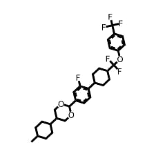 CC1CCC(C2COC(c3ccc(C4CCC(C(F)(F)Oc5ccc(C(F)(F)F)cc5)CC4)c(F)c3)OC2)CC1